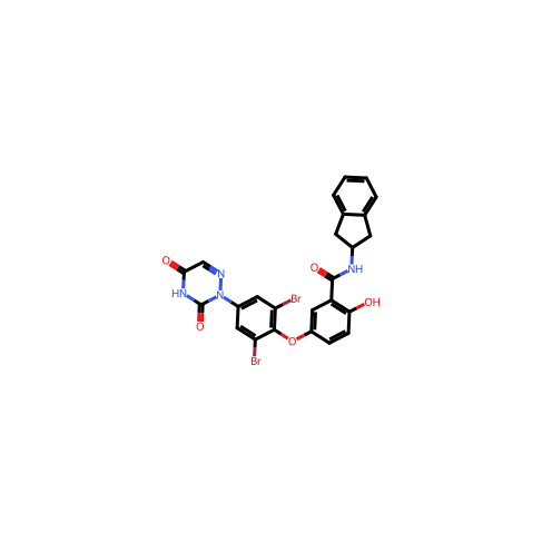 O=C(NC1Cc2ccccc2C1)c1cc(Oc2c(Br)cc(-n3ncc(=O)[nH]c3=O)cc2Br)ccc1O